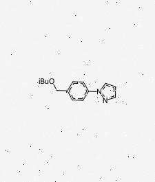 CC(C)COCc1ccc(-n2cccn2)cc1